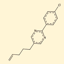 C=CCCCc1cnc(-c2ccc(Cl)cc2)nc1